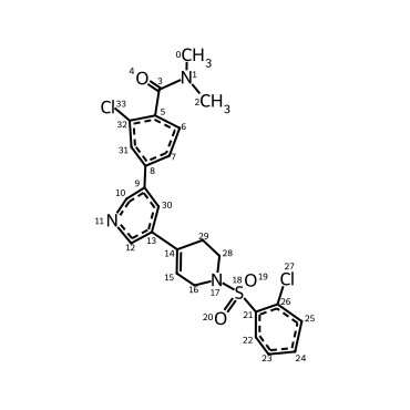 CN(C)C(=O)c1ccc(-c2cncc(C3=CCN(S(=O)(=O)c4ccccc4Cl)CC3)c2)cc1Cl